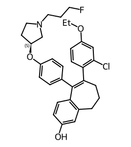 CCOc1ccc(C2=C(c3ccc(O[C@H]4CCN(CCCF)C4)cc3)c3ccc(O)cc3CCC2)c(Cl)c1